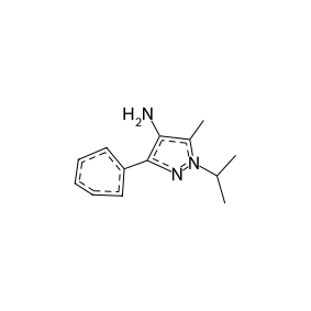 Cc1c(N)c(-c2ccccc2)nn1C(C)C